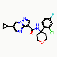 O=C(NC1(c2ccc(F)cc2Cl)CCOCC1)c1cnn2cc(C3CC3)cnc12